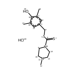 Cc1cc(CSC(=S)N2CCN(C)CC2)cc(C)c1O.Cl